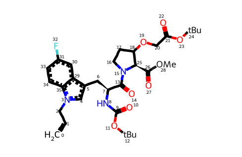 C=CCn1cc(C[C@H](NC(=O)OC(C)(C)C)C(=O)N2CCC(OCC(=O)OC(C)(C)C)[C@H]2C(=O)OC)c2cc(F)ccc21